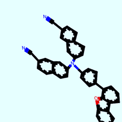 N#Cc1ccc2ccc(N(c3ccc(-c4cccc5c4oc4ccccc45)cc3)c3ccc4ccc(C#N)cc4c3)cc2c1